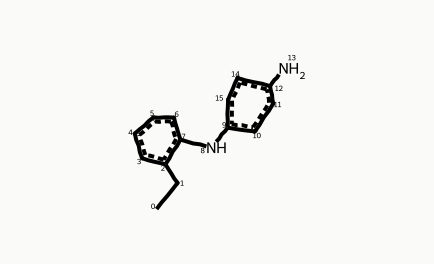 CCc1ccccc1Nc1ccc(N)cc1